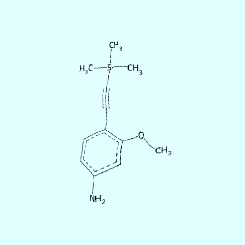 COc1cc(N)ccc1C#C[Si](C)(C)C